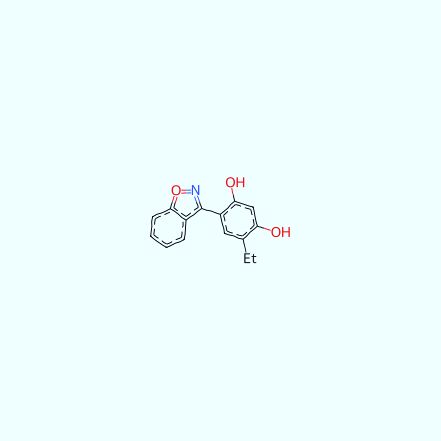 CCc1cc(-c2noc3ccccc23)c(O)cc1O